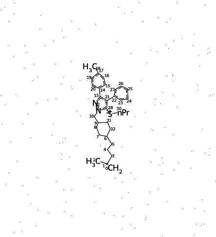 C=C(C)CCCC1CCC(Cn2nc(-c3ccc(C)cc3)c(-c3ccccc3)c2SCCC)CC1